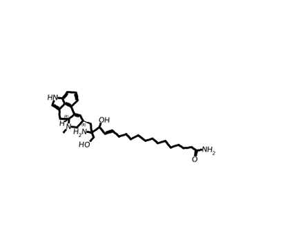 CN1C[C@H](CC(N)(CO)C(O)C=CCCCCCCCCCCCCC(N)=O)C=C2c3cccc4[nH]cc(c34)C[C@H]21